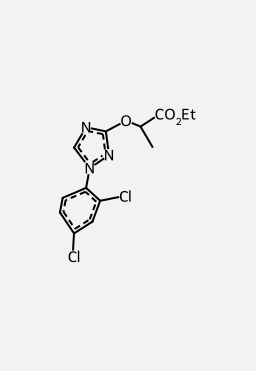 CCOC(=O)C(C)Oc1ncn(-c2ccc(Cl)cc2Cl)n1